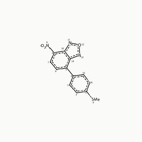 CSc1ccc(-c2ccc([N+](=O)[O-])c3nonc23)cc1